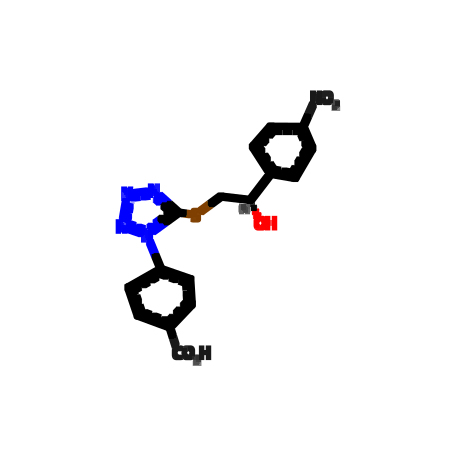 O=C(O)c1ccc(-n2nnnc2SC[C@@H](O)c2ccc([N+](=O)[O-])cc2)cc1